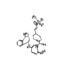 CC(C)[Si](OCCC1CCN(C(=N)n2cc(O[C@@H]3CC[C@H](N)c4ccccc43)ccc2=N)CC1)(C(C)C)C(C)C